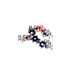 CC(C)(C)OC(=O)OC(=O)OC(C)(C)C.C[C@H]1CC[C@H](c2ccc3nn(C4CCN(C)C(C)(C)C4)cc3c2)N(C(=O)OC(C)(C)C)C1